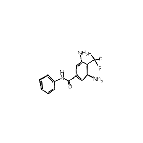 Nc1cc(C(=O)Nc2ccccc2)cc(N)c1C(F)(F)F